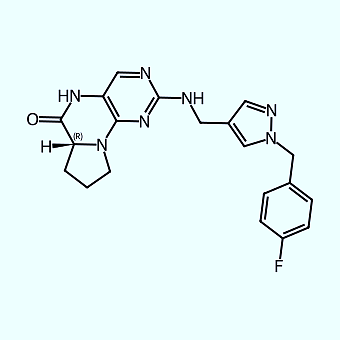 O=C1Nc2cnc(NCc3cnn(Cc4ccc(F)cc4)c3)nc2N2CCC[C@H]12